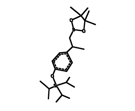 CC(CB1OC(C)(C)C(C)(C)O1)c1ccc(O[Si](C(C)C)(C(C)C)C(C)C)cc1